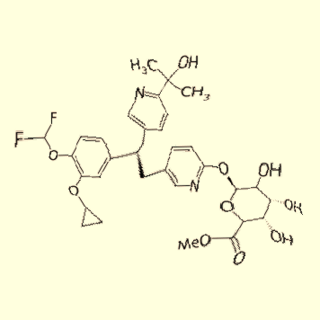 COC(=O)C1O[C@@H](Oc2ccc(C[C@H](c3ccc(C(C)(C)O)nc3)c3ccc(OC(F)F)c(OC4CC4)c3)cn2)C(O)[C@H](O)[C@@H]1O